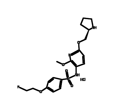 COc1nc(OC[C@H]2CCCN2)ccc1NS(=O)(=O)c1ccc(OCCF)cc1.Cl